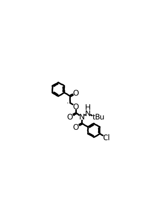 CC(C)(C)NN(C(=O)O[CH]C(=O)c1ccccc1)C(=O)c1ccc(Cl)cc1